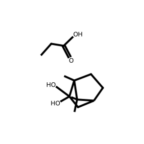 CC1(C)C2CCC1(C)C(O)(O)C2.CCC(=O)O